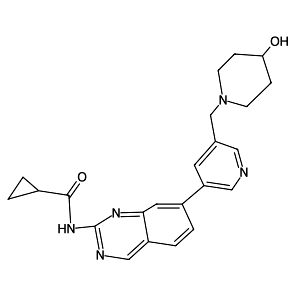 O=C(Nc1ncc2ccc(-c3cncc(CN4CCC(O)CC4)c3)cc2n1)C1CC1